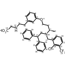 C[C@H](CCOc1cccc(CCNCC(=O)O)c1)N(Cc1cccc(C(F)(F)F)c1Cl)CC(c1ccccc1)c1ccccc1